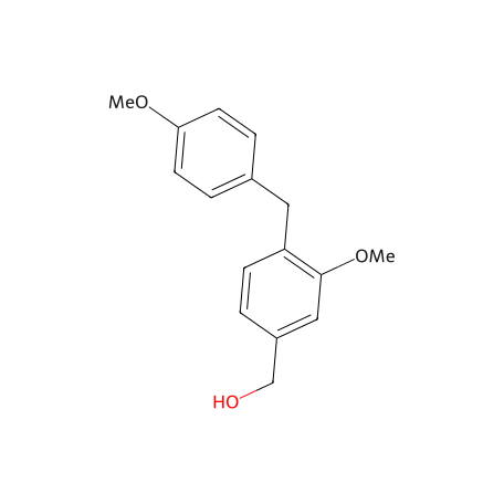 COc1ccc(Cc2ccc(CO)cc2OC)cc1